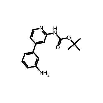 CC(C)(C)OC(=O)Nc1cc(-c2cccc(N)c2)ccn1